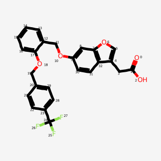 O=C(O)Cc1coc2cc(OCc3ccccc3OCc3ccc(C(F)(F)F)cc3)ccc12